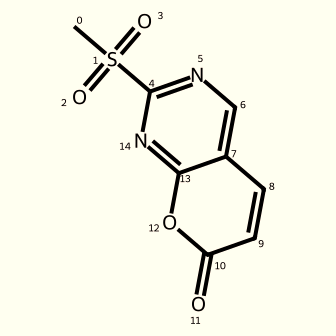 CS(=O)(=O)c1ncc2ccc(=O)oc2n1